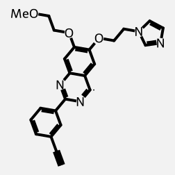 C#Cc1cccc(-c2n[c]c3cc(OCCn4ccnc4)c(OCCOC)cc3n2)c1